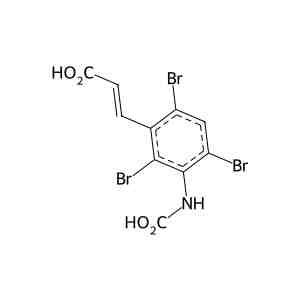 O=C(O)C=Cc1c(Br)cc(Br)c(NC(=O)O)c1Br